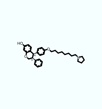 Oc1ccc2c(c1)OC[C@H](c1ccccc1)[C@@H]2c1ccc(OCCCCCCCCN2CCCC2)cc1